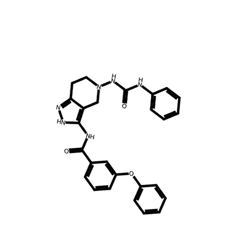 O=C(Nc1ccccc1)NN1CCc2n[nH]c(NC(=O)c3cccc(Oc4ccccc4)c3)c2C1